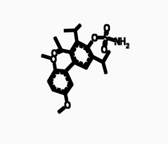 COc1ccc(OC)c(-c2cc(C(C)C)c(OS(N)(=O)=O)c(C(C)C)c2C(C)=O)c1